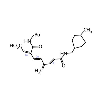 C=C(/C=C/C(=O)NCC1CCC(C)CC1)/C=C/C(=C/C(=O)O)C(=O)NC(C)CC